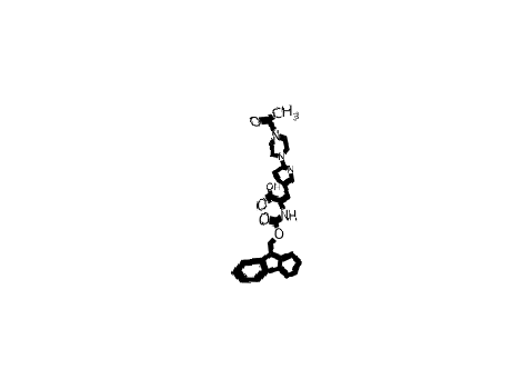 CC(=O)N1CCN(c2ccc(CC(NC(=O)OCC3c4ccccc4-c4ccccc43)C(=O)O)cn2)CC1